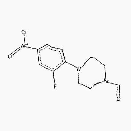 O=CN1CCN(c2ccc([N+](=O)[O-])cc2F)CC1